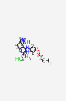 CCCCOc1ccc(Nc2cc(C)nc3ccc4cn[nH]c4c23)cc1.Cl